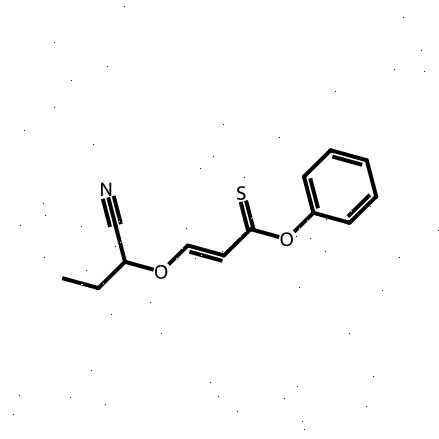 CCC(C#N)OC=CC(=S)Oc1ccccc1